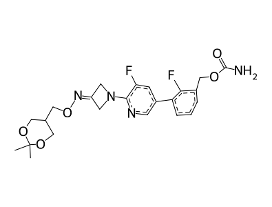 CC1(C)OCC(CON=C2CN(c3ncc(-c4cccc(COC(N)=O)c4F)cc3F)C2)CO1